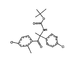 Cc1cc(Cl)ccc1C(=O)C(C)(NC(=O)OC(C)(C)C)c1ccc(Cl)nc1